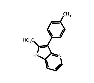 Cc1ccc(-c2c(C(=O)O)[nH]c3cccnc23)cc1